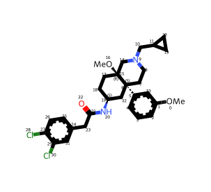 COc1cccc([C@@]23CCN(CC4CC4)C[C@@]2(OC)CC[C@H](NC(=O)Cc2ccc(Cl)c(Cl)c2)C3)c1